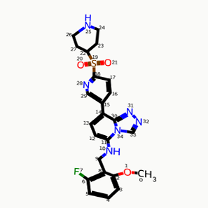 COc1cccc(F)c1CNc1ccc(-c2ccc(S(=O)(=O)C3CCNCC3)nc2)c2nncn12